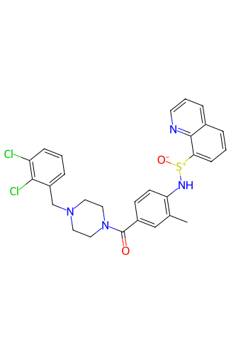 Cc1cc(C(=O)N2CCN(Cc3cccc(Cl)c3Cl)CC2)ccc1N[S+]([O-])c1cccc2cccnc12